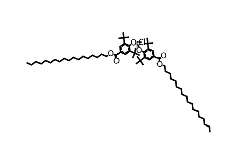 CCCCCCCCCCCCCCCCCCOC(=O)c1cc(C(C)(C)C)c(OP(Cl)Oc2c(C(C)(C)C)cc(C(=O)OCCCCCCCCCCCCCCCCCC)cc2C(C)(C)C)c(C(C)(C)C)c1